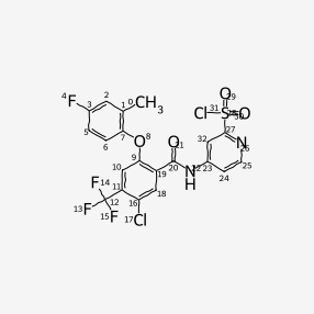 Cc1cc(F)ccc1Oc1cc(C(F)(F)F)c(Cl)cc1C(=O)Nc1ccnc(S(=O)(=O)Cl)c1